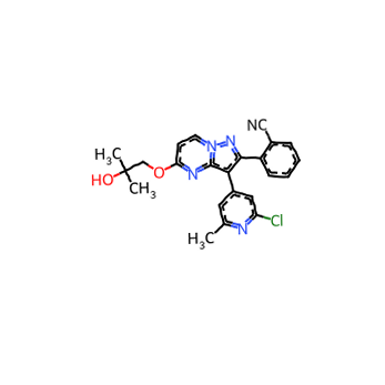 Cc1cc(-c2c(-c3ccccc3C#N)nn3ccc(OCC(C)(C)O)nc23)cc(Cl)n1